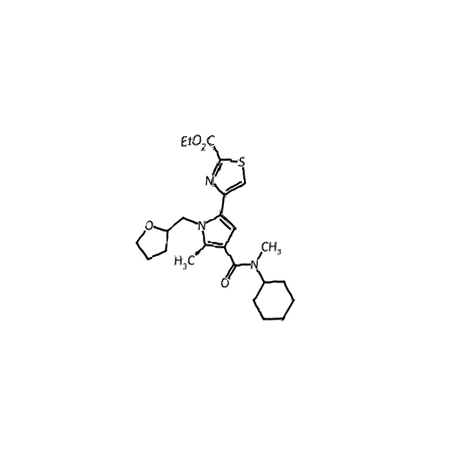 CCOC(=O)c1nc(-c2cc(C(=O)N(C)C3CCCCC3)c(C)n2CC2CCCO2)cs1